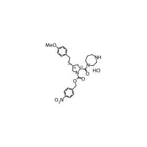 COc1ccc(CS[C@H]2C[C@@H](C(=O)N3CCCNCC3)N(C(=O)OCc3ccc([N+](=O)[O-])cc3)C2)cc1.Cl